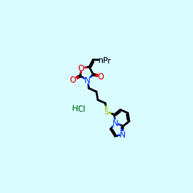 CCCC=C1OC(=O)N(CCCCSc2cccc3nccn23)C1=O.Cl